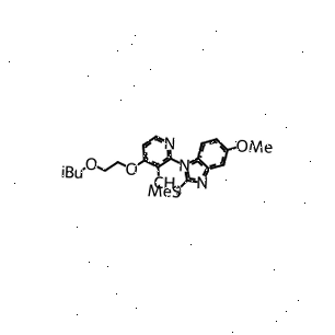 CCC(C)OCCOc1ccnc(-n2c(SC)nc3cc(OC)ccc32)c1C